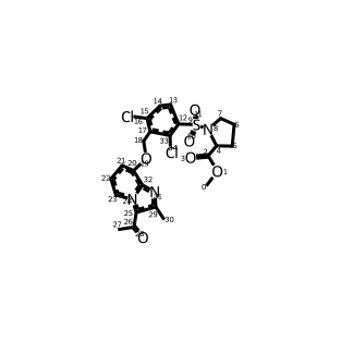 COC(=O)C1CCCN1S(=O)(=O)c1ccc(Cl)c(COc2cccn3c(C(C)=O)c(C)nc23)c1Cl